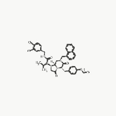 CC(C)N(C(=O)NCc1ccc(Cl)c(Cl)c1)N1CC(=O)N2[C@@H](Cc3ccc(NC=O)cc3)C(=O)N(Cc3cccc4ccccc34)C[C@@H]21